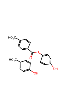 O=C(O)c1ccc(C(=O)Oc2ccc(O)cc2)cc1.O=C(O)c1ccc(O)cc1